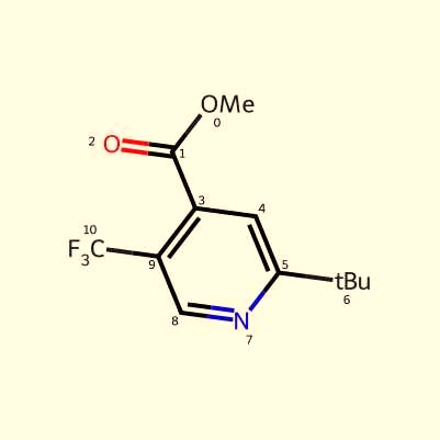 COC(=O)c1cc(C(C)(C)C)ncc1C(F)(F)F